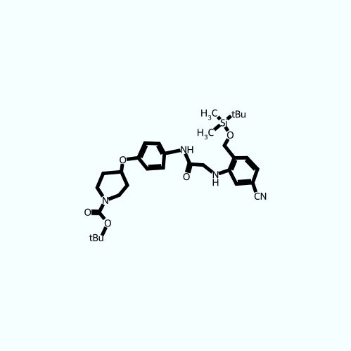 CC(C)(C)OC(=O)N1CCC(Oc2ccc(NC(=O)CNc3cc(C#N)ccc3CO[Si](C)(C)C(C)(C)C)cc2)CC1